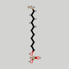 O=[SH](=O)OCCCCCCCCCCCS